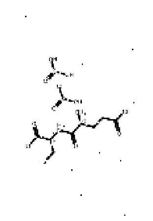 N[C@@H](CCC(=O)O)C(=O)N[C@@H](CS)C(=O)O.O=S(O)O.O=S(O)O